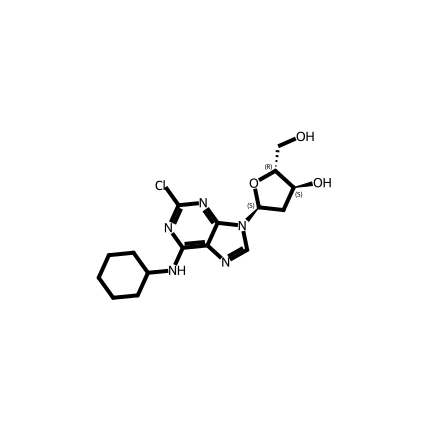 OC[C@H]1O[C@H](n2cnc3c(NC4CCCCC4)nc(Cl)nc32)C[C@@H]1O